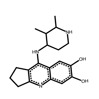 CC1NCCC(Nc2c3c(nc4cc(O)c(O)cc24)CCC3)C1C